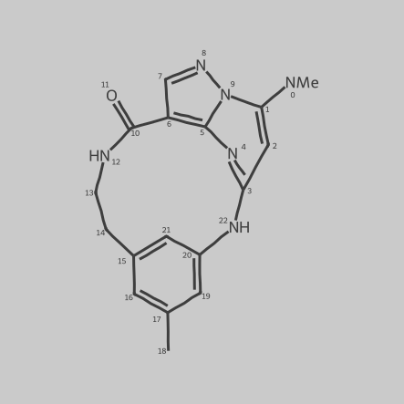 CNc1cc2nc3c(cnn13)C(=O)NCCc1cc(C)cc(c1)N2